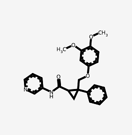 COc1ccc(OCC2(c3ccccc3)CC2C(=O)Nc2cccnc2)cc1OC